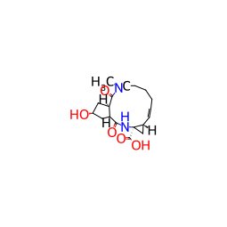 CN1CCCC/C=C\[C@@H]2C[C@@]2(C(=O)O)NC(=O)[C@@H]2C[C@@H](O)C[C@H]2C1=O